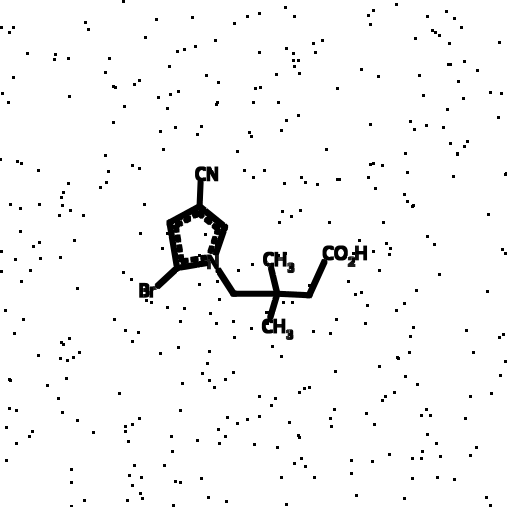 CC(C)(CC(=O)O)Cn1cc(C#N)cc1Br